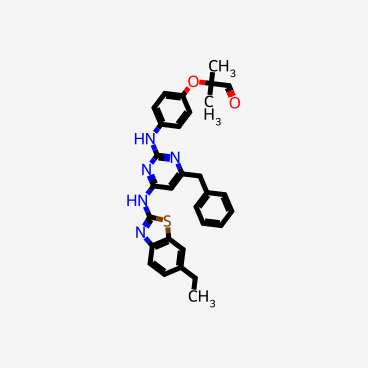 CCc1ccc2nc(Nc3cc(Cc4ccccc4)nc(Nc4ccc(OC(C)(C)C=O)cc4)n3)sc2c1